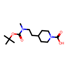 CN(CCC1CCN(C(=O)O)CC1)C(=O)OC(C)(C)C